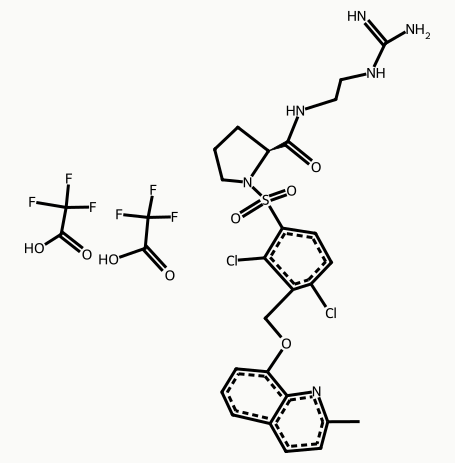 Cc1ccc2cccc(OCc3c(Cl)ccc(S(=O)(=O)N4CCC[C@H]4C(=O)NCCNC(=N)N)c3Cl)c2n1.O=C(O)C(F)(F)F.O=C(O)C(F)(F)F